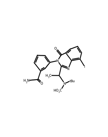 CC(c1nc2c(I)cccc2c(=O)n1-c1cccc(C(N)=O)c1)N(C(=O)O)C(C)(C)C